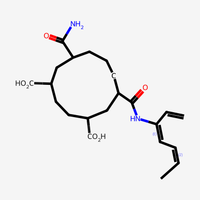 C=C/C(=C\C=C/C)NC(=O)C1CCCC(C(N)=O)CC(C(=O)O)CCC(C(=O)O)C1